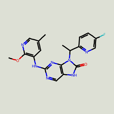 COc1ncc(C)cc1Nc1ncc2[nH]c(=O)n(C(C)c3ccc(F)cn3)c2n1